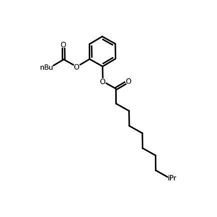 CCCCC(=O)Oc1ccccc1OC(=O)CCCCCCCC(C)C